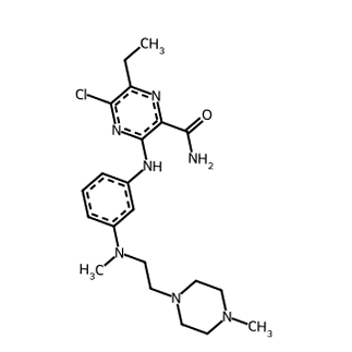 CCc1nc(C(N)=O)c(Nc2cccc(N(C)CCN3CCN(C)CC3)c2)nc1Cl